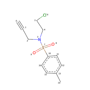 C#CCN(CCCl)S(=O)(=O)c1ccc(C)cc1